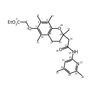 CCOC(=O)COc1c(C)c(C)c2c(c1C)CCC(C)(CC(=O)Nc1cc(C)cc(C)n1)O2